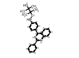 CC(C)(O)C(C)(C)OBc1ccc(-c2nc(-c3ccccc3)nc3ccccc23)cc1